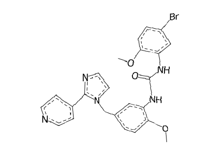 COc1ccc(Br)cc1NC(=O)Nc1cc(Cn2ccnc2-c2ccncc2)ccc1OC